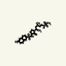 CC(CN(C)CCNS(C)(=O)=O)N1CCC(NS(=O)(=O)c2ccc3cc(Cl)ccc3c2)C1=O